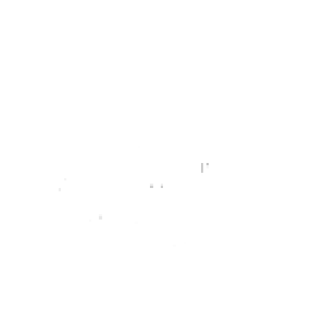 O=C(OS(=O)(=O)c1ccc(C(F)(F)F)cc1Br)C1CCCCN1